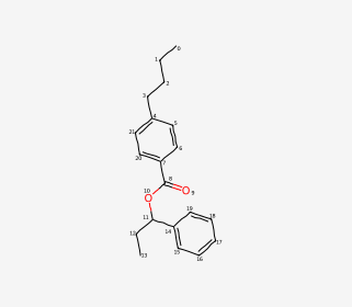 CCCCc1ccc(C(=O)OC(CC)c2ccccc2)cc1